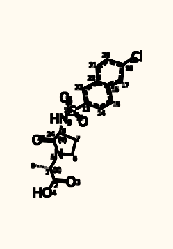 C[C@@H](C(=O)O)N1CC[C@@H](NS(=O)(=O)c2ccc3cc(Cl)ccc3c2)C1=O